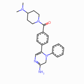 CN(C)C1CCN(C(=O)c2ccc(C3=CN=C(N)CN3c3ccccc3)cc2)CC1